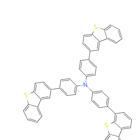 c1ccc2c(c1)sc1ccc(-c3ccc(N(c4ccc(-c5ccc6sc7ccccc7c6c5)cc4)c4ccc(-c5cccc6c5sc5ccccc56)cc4)cc3)cc12